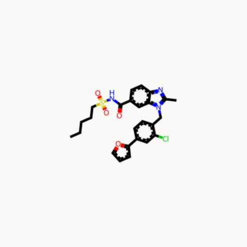 CCCCCS(=O)(=O)NC(=O)c1ccc2nc(C)n(Cc3ccc(-c4ccco4)cc3Cl)c2c1